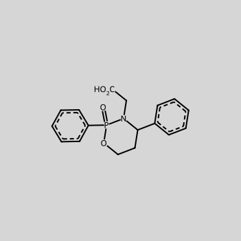 O=C(O)CN1C(c2ccccc2)CCOP1(=O)c1ccccc1